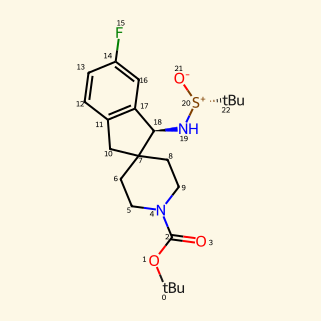 CC(C)(C)OC(=O)N1CCC2(CC1)Cc1ccc(F)cc1[C@H]2N[S@+]([O-])C(C)(C)C